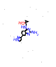 Nc1nc(NCC2(O)CC2)c2ccc(-c3cc[nH]n3)cc2n1